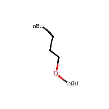 CCCCCCCOCCCC